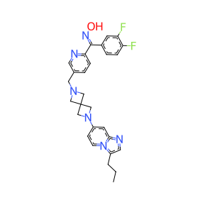 CCCc1cnc2cc(N3CC4(CN(Cc5ccc(/C(=N/O)c6ccc(F)c(F)c6)nc5)C4)C3)ccn12